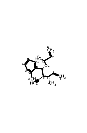 C#C[C@@H]([C@@H](C)C=C)[C@@H](O[C@@H](O)C=C)c1ccccc1C